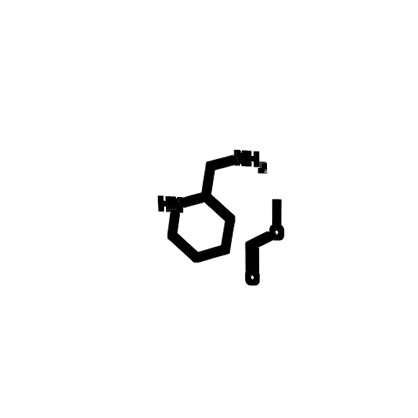 COC=O.NCC1CCCCN1